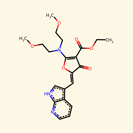 CCOC(=O)C1=C(N(CCOC)CCOC)O/C(=C\c2c[nH]c3ncccc23)C1=O